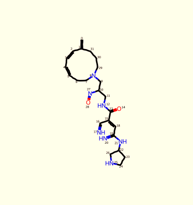 C=C1/C=C\C=C/CCN(CC(CNC(=O)/C(C=N)=C/C(=N)NC2CCNC2)N=O)CCC1